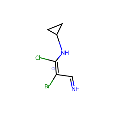 N=C/C(Br)=C(/Cl)NC1CC1